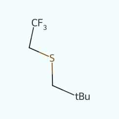 CC(C)(C)CSCC(F)(F)F